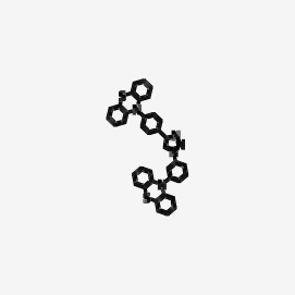 c1cc(N2c3ccccc3Sc3ccccc32)cc(-n2cc(-c3ccc(N4c5ccccc5Sc5ccccc54)cc3)nn2)c1